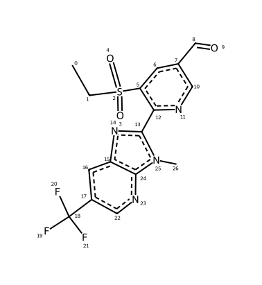 CCS(=O)(=O)c1cc(C=O)cnc1-c1nc2cc(C(F)(F)F)cnc2n1C